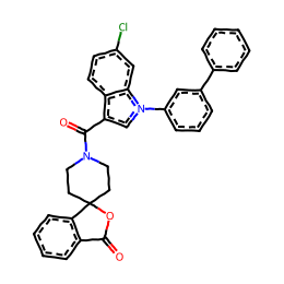 O=C1OC2(CCN(C(=O)c3cn(-c4cccc(-c5ccccc5)c4)c4cc(Cl)ccc34)CC2)c2ccccc21